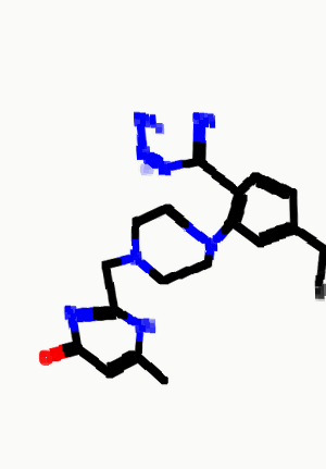 Cc1cc(=O)nc(CN2CCN(c3cc(CC(C)C)ccc3C(=N)/N=N\N)CC2)[nH]1